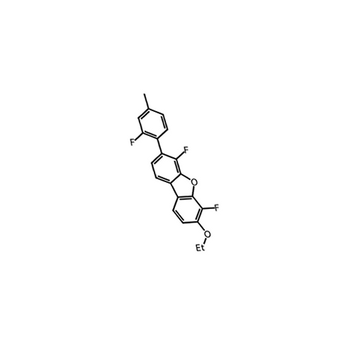 CCOc1ccc2c(oc3c(F)c(-c4ccc(C)cc4F)ccc32)c1F